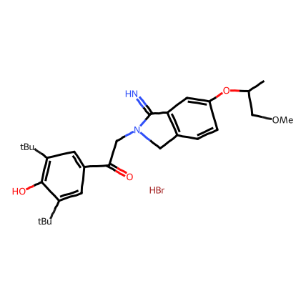 Br.COCC(C)Oc1ccc2c(c1)C(=N)N(CC(=O)c1cc(C(C)(C)C)c(O)c(C(C)(C)C)c1)C2